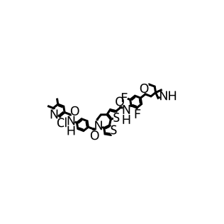 Cc1cc(C(=O)Nc2ccc(C(=O)N3CCc4cc(C(=O)Nc5c(F)cc(C6CC7(CCO6)CNC7)cc5F)sc4-c4sccc43)cc2)c(Cl)nc1C